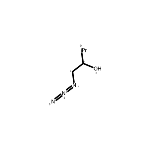 CC(C)C(O)CN=[N+]=[N-]